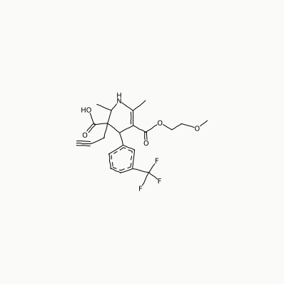 C#CCC1(C(=O)O)C(C)NC(C)=C(C(=O)OCCOC)C1c1cccc(C(F)(F)F)c1